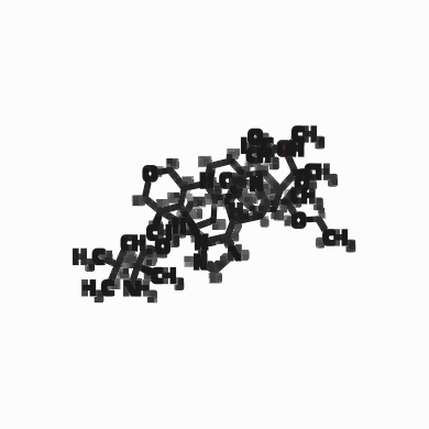 CCOC(=O)c1cc(-c2ncnn2[C@@H]2C[C@@]34COC[C@](C)([C@@H]3CC[C@H]3C4=CC[C@@]4(C)[C@H](C(=O)O)[C@@](C)([C@H](C)C(C)C)CC[C@]34C)[C@H]2OC[C@](C)(N)C(C)(C)C)ccn1